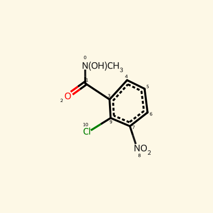 CN(O)C(=O)c1cccc([N+](=O)[O-])c1Cl